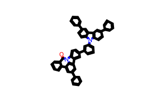 O=c1c2ccccc2c2cc(-c3ccccc3)cc3c4cc(-c5cccc(-n6c7ccc(-c8ccccc8)cc7c7cc(-c8ccccc8)ccc76)c5)ccc4n1c23